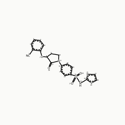 N#Cc1ccccc1OC1CCN(c2ccc(S(=O)(=O)Nc3nccs3)cc2)C1=O